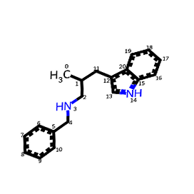 CC(CNCc1ccccc1)Cc1c[nH]c2ccccc12